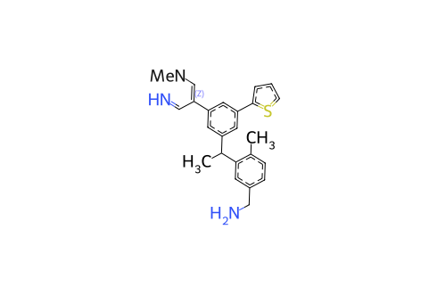 CN/C=C(\C=N)c1cc(-c2cccs2)cc(C(C)c2cc(CN)ccc2C)c1